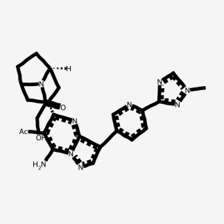 CC(=O)c1c([C@@H]2CC3CC[C@@H](C2)N3C(=O)CO)nc2c(-c3ccc(-c4ncn(C)n4)nc3)cnn2c1N